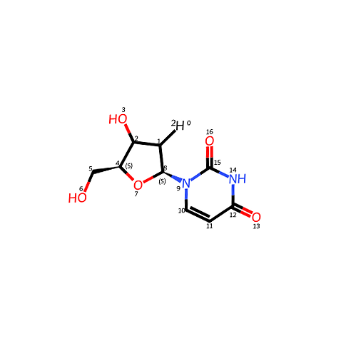 [2H]C1C(O)[C@H](CO)O[C@@H]1n1ccc(=O)[nH]c1=O